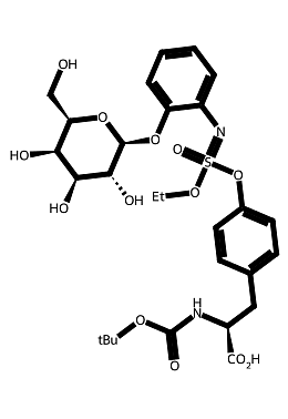 CCOS(=O)(=Nc1ccccc1O[C@@H]1O[C@H](CO)[C@H](O)[C@H](O)[C@H]1O)Oc1ccc(C[C@H](NC(=O)OC(C)(C)C)C(=O)O)cc1